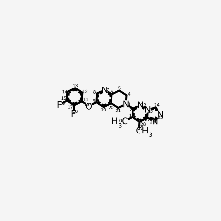 Cc1c(N2CCc3ncc(Oc4cccc(F)c4F)cc3C2)nn2cnnc2c1C